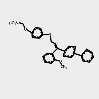 O=C(O)COc1ccc(SCC=C(c2ccc(-c3ccccc3)cc2)c2ccccc2OC(F)(F)F)cc1